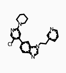 Clc1cnc(N2CCCCC2)cc1-c1ccc2ncn(CCc3cccnc3)c2c1